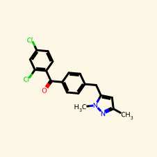 Cc1cc(Cc2ccc(C(=O)c3ccc(Cl)cc3Cl)cc2)n(C)n1